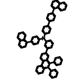 c1ccc(-c2c(-c3ccccc3)c3cc(-c4cccc(N(c5ccc(-c6ccc(-c7cccc8ccccc78)cc6)cc5)c5ccc(-c6cccc7ccccc67)cc5)c4)ccc3c3ccccc23)cc1